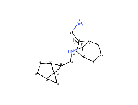 NCC1CC2CCCC1[C@@H]2NCC1C2CCC3CC321